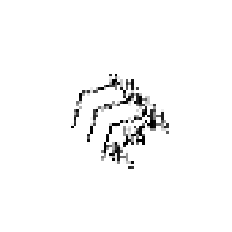 CCCCCCCC/C=C\CCCCCCCC(N)=O.CCCCCCCC/C=C\CCCCCCCC(N)=O.CCCCCCCC/C=C\CCCCCCCC(N)=O.NCCNCCNCCNCCN